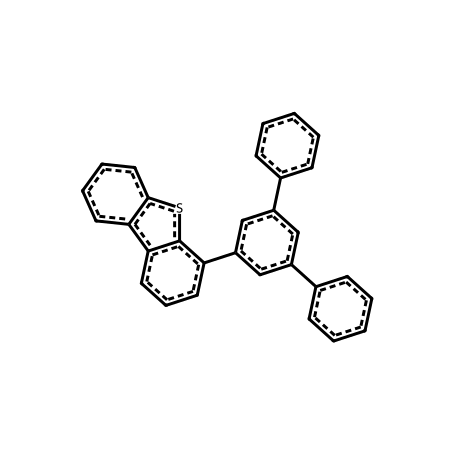 c1ccc(-c2cc(-c3ccccc3)cc(-c3cccc4c3sc3ccccc34)c2)cc1